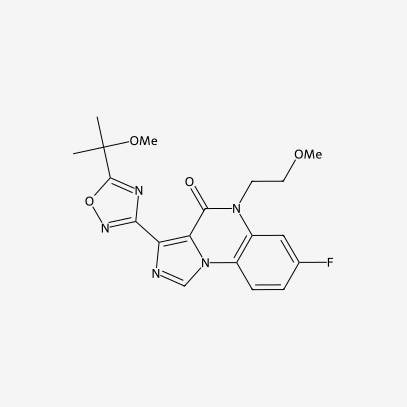 COCCn1c(=O)c2c(-c3noc(C(C)(C)OC)n3)ncn2c2ccc(F)cc21